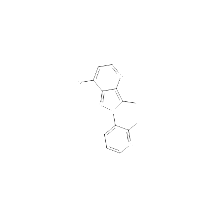 Cc1c2nccc(N)c2nn1-c1cccnc1C(F)(F)F